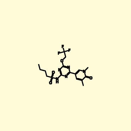 CCCCS(=O)(=O)Nc1nc(OCC(F)(F)F)nc(-c2cc(C)c(=O)n(C)c2)n1